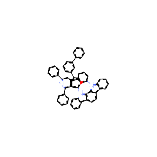 c1ccc(-c2cccc(-c3ccc(-n4c5ccccc5c5ccc6c7ccccc7n(-c7cccc(-c8cc(-c9ccccc9)nc(-c9ccccc9)c8)c7)c6c54)cc3)c2)cc1